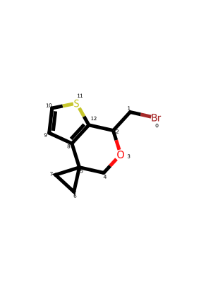 BrCC1OCC2(CC2)c2ccsc21